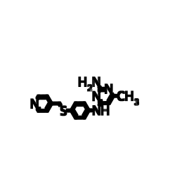 Cc1cc(Nc2ccc(SCc3ccncc3)cc2)nc(N)n1